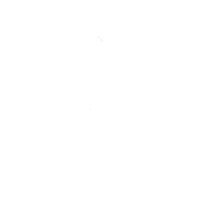 O=C(OC1C2CC3C1OC(=O)C3C2C(=O)OC1(c2ccccc2)CCNCC1)C1CCCCC1